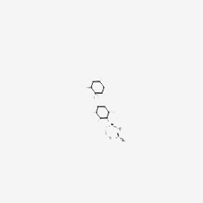 Cc1ccccc1Oc1ccc(C2(C)CCSC(N)=N2)cc1